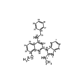 CNc1nc2ccccc2n1-c1nc(NCc2ccccc2)c2cccc(OC)c2n1